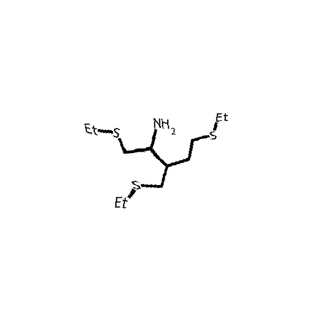 CCSCCC(CSCC)C(N)CSCC